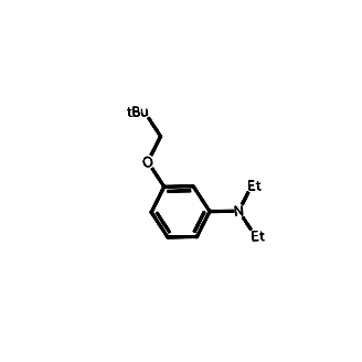 CCN(CC)c1cccc(OCC(C)(C)C)c1